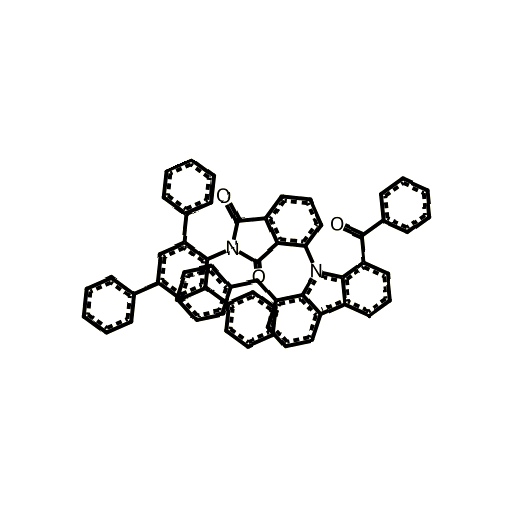 O=C(c1ccccc1)c1cccc2c3cccc(Cc4ccccc4)c3n(-c3cccc4c3C(=O)N(c3c(-c5ccccc5)cc(-c5ccccc5)cc3-c3ccccc3)C4=O)c12